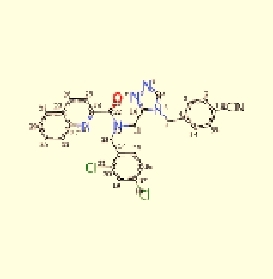 N#Cc1ccc(Cn2cnnc2CN(Cc2ccc(Cl)cc2Cl)C(=O)c2ccc3ccccc3n2)cc1